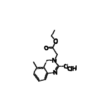 CCOC(=O)CN1Cc2c(C)cccc2N=C1Cl.Cl